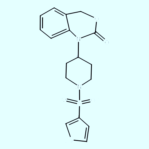 O=C1OCc2ccccc2N1C1CCN(S(=O)(=O)c2ccsc2)CC1